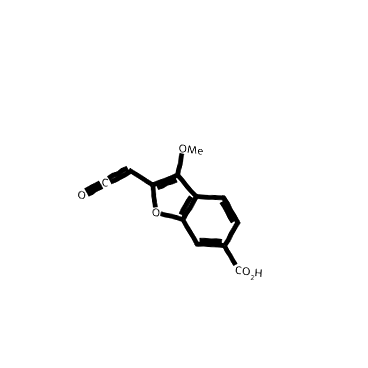 COc1c(C=C=O)oc2cc(C(=O)O)ccc12